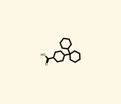 O=C(O)C1CCC(C2(C3CCCCC3)CCCCC2)CC1